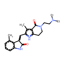 CCN(CC)CCN1CCc2[nH]c(/C=C3\C(=O)Nc4cccc(C)c43)c(C)c2C1=O